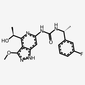 COc1n[nH]c2cc(NC(=O)N[C@H](C)c3cccc(F)c3)nc([C@H](C)O)c12